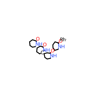 O=C1CCCCCN1.O=C1CCCCCN1.O=C1CCCCCN1.O=C1CCCCCN1.[Rh]